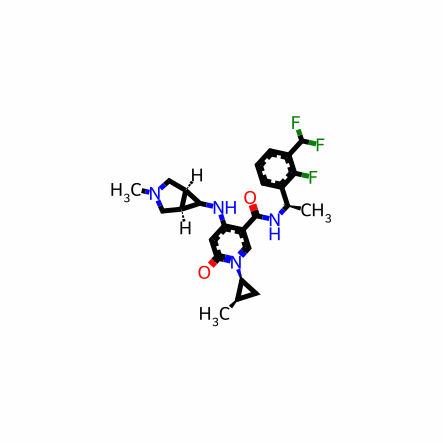 C[C@@H]1C[C@@H]1n1cc(C(=O)N[C@H](C)c2cccc(C(F)F)c2F)c(NC2[C@H]3CN(C)C[C@@H]23)cc1=O